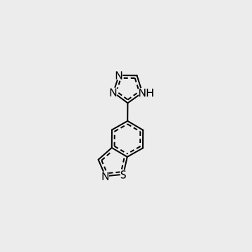 c1nnc(-c2ccc3sncc3c2)[nH]1